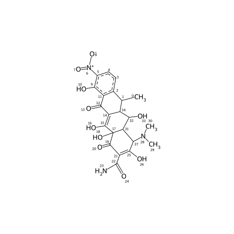 CC1c2ccc([N+](=O)[O-])c(O)c2C(=O)C2=C(O)C3(O)C(=O)C(C(N)=O)=C(O)C(N(C)C)C3C(O)C21